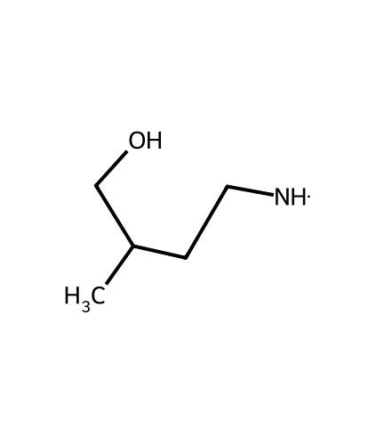 CC(CO)CC[NH]